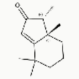 C[C@H]1C(=O)C=C2C(C)(C)CCC[C@]21C